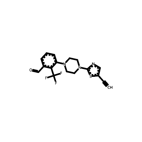 C#Cc1cnc(N2CCN(c3cccc(C=O)c3C(F)(F)F)CC2)s1